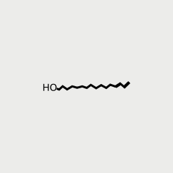 C=CC=CCCCCCCCCCCCCO